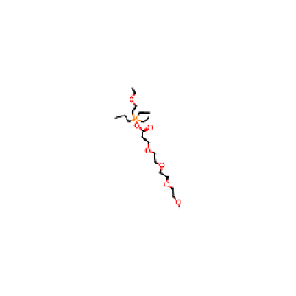 CCCP(CC)(CC)(CCOCC)OC(=O)CCOCCOCCOCCOC